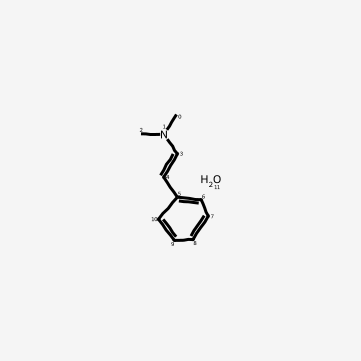 CN(C)C=Cc1ccccc1.O